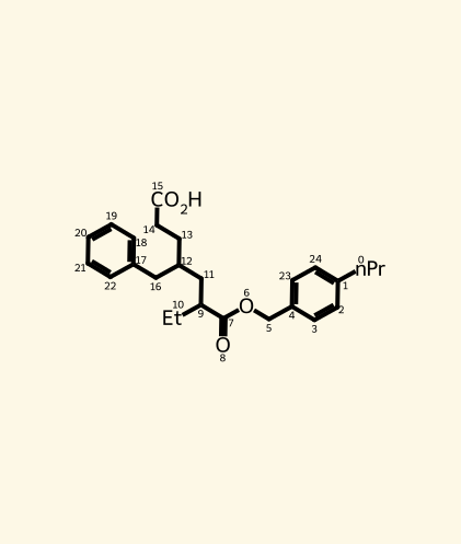 CCCc1ccc(COC(=O)C(CC)CC(CCC(=O)O)Cc2ccccc2)cc1